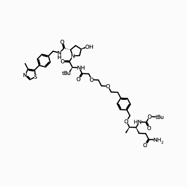 Cc1ncsc1-c1ccc(CNC(=O)[C@@H]2C[C@@H](O)CN2C(=O)[C@@H](NC(=O)COCCOCCc2ccc(CO[C@H](C)[C@H](CCC(N)=O)NC(=O)OC(C)(C)C)cc2)C(C)(C)C)cc1